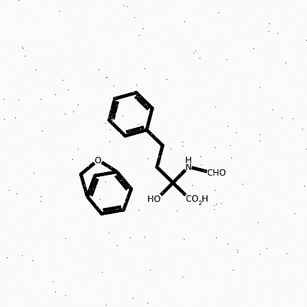 O=CNC(O)(CCc1ccccc1)C(=O)O.c1cc2cc(c1)OC2